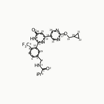 CC(C)C(=O)NCc1ccc(C(F)(F)F)c(-c2nc(-c3cnc(OCC4CC4)nc3)cc(=O)[nH]2)c1